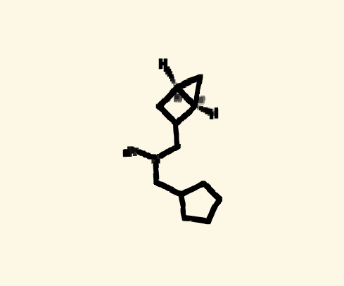 CCCN(CC1CCCC1)CC1C[C@H]2C[C@@H]12